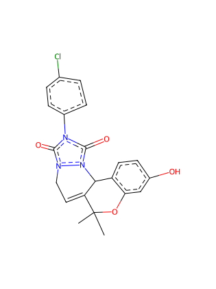 CC1(C)Oc2cc(O)ccc2C2C1=CCn1c(=O)n(-c3ccc(Cl)cc3)c(=O)n12